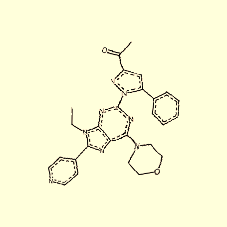 CCn1c(-c2ccncc2)nc2c(N3CCOCC3)nc(-n3nc(C(C)=O)cc3-c3ccccc3)nc21